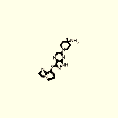 CC1(N)CCN(c2cnc3c(Sc4cccn5ccnc45)n[nH]c3n2)CC1